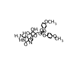 COc1ccc(OP(=O)(OC[C@H]2O[C@@H](n3cnc4c(=O)[nH]c(N)nc43)[C@H](O)[C@@H]2O)Oc2ccc(OC)cc2)cc1